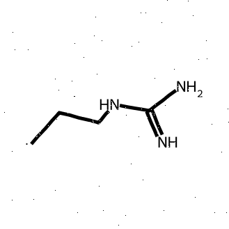 [CH2]CCNC(=N)N